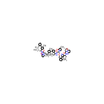 Cc1ccn([C@@H](COCCc2cccc(C)c2-c2cncc([C@H](CC(=O)O)NC(=O)[C@@H](CC(C)C)n3ccccc3=O)c2)C(=O)N[C@@H](CC(=O)O)c2cccc(-c3c(C)ccc(CC(C)CC(C(=O)N[C@@H](CC(=O)O)c4ccc(C#N)c(-c5ccccc5C)c4)n4ccccc4=O)c3C)c2)c(=O)c1